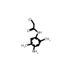 Cc1cc(NC(=O)CCl)c(C)cc1N